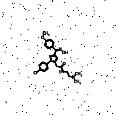 COc1ccc(C(=NO)c2cc(CC(=O)NCCN(C)C)c(-c3ccc(Cl)cc3)s2)cc1